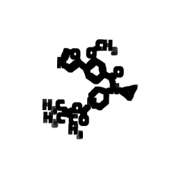 COc1cc(C(=O)N(C2CC2)C2CCN(C(=O)OC(C)(C)C)CC2)ccc1-c1cnco1